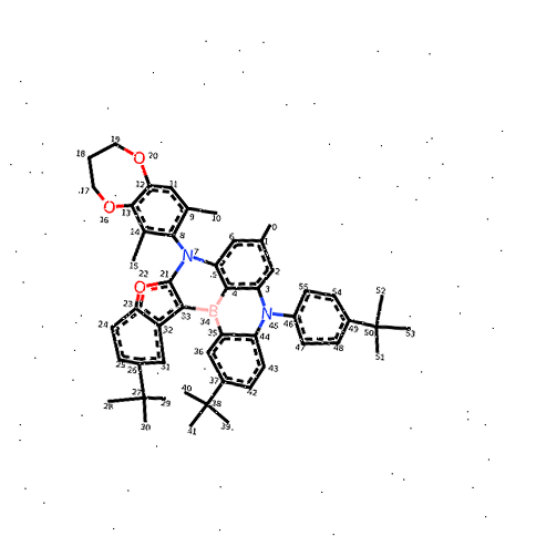 Cc1cc2c3c(c1)N(c1c(C)cc4c(c1C)OCCCO4)c1oc4ccc(C(C)(C)C)cc4c1B3c1cc(C(C)(C)C)ccc1N2c1ccc(C(C)(C)C)cc1